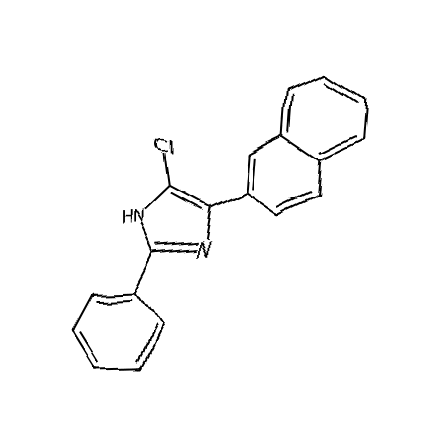 Clc1[nH]c(-c2ccccc2)nc1-c1ccc2ccccc2c1